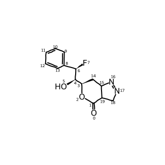 O=C1O[C@@H]([C@@H](O)[C@H](F)c2ccccc2)CC2N=NCC12